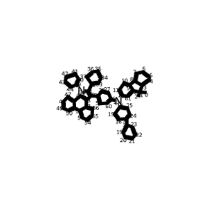 CC1(C)c2ccccc2-c2ccc(N(c3ccc(-c4ccccc4)cc3)c3ccc(-c4c(-c5ccccc5)n(-c5ccccc5)c5c6ccccc6c6ccccc6c45)cc3)cc21